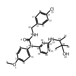 COc1ccc(N(C(=O)NCc2ccc(Cl)cc2)c2ccnc(NC(C)C(C)(C)O)n2)cc1